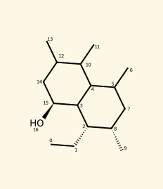 CC[C@@H]1C2C(C(C)C[C@@H]1C)C(C)C(C)C[C@@H]2O